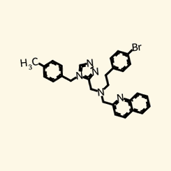 Cc1ccc(Cn2cnnc2CN(CCc2ccc(Br)cc2)Cc2ccc3ccccc3n2)cc1